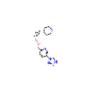 c1cc(COC[C@@H]2C[C@@H]2C2CCNCC2)ncc1N1CNN=N1